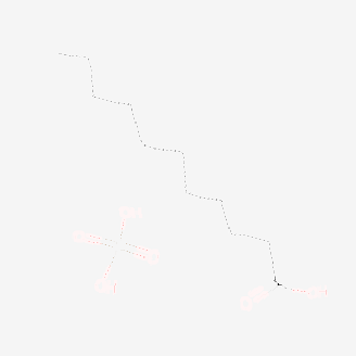 CCCCCCCCCCC(=O)O.O=S(=O)(O)O